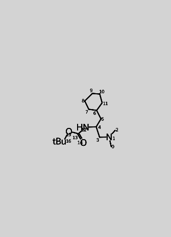 CN(C)CC(CC1CCCCC1)NC(=O)OC(C)(C)C